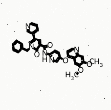 COc1cc2nccc(Oc3ccc(NC(=O)c4cc(-c5cccnc5)cn(Cc5ccccc5)c4=O)nc3)c2cc1OC